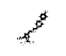 C=C(C)n1nc(CNCCN2CCN(c3ccc(Cl)cc3)CC2)cc1CCC